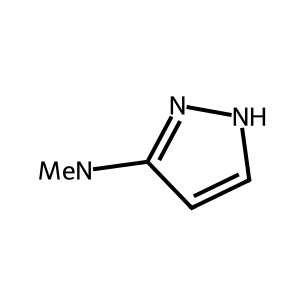 [CH2-][NH2+]c1cc[nH]n1